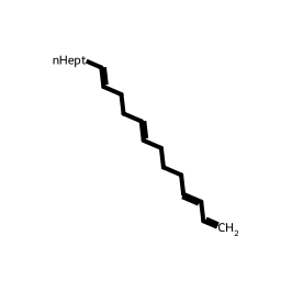 C=CC=CCCCC=CCCC=CCCCCCCC